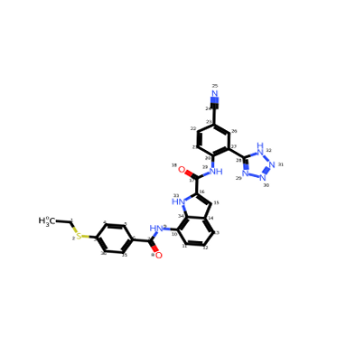 CCSc1ccc(C(=O)Nc2cccc3cc(C(=O)Nc4ccc(C#N)cc4-c4nnn[nH]4)[nH]c23)cc1